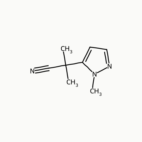 Cn1nccc1C(C)(C)C#N